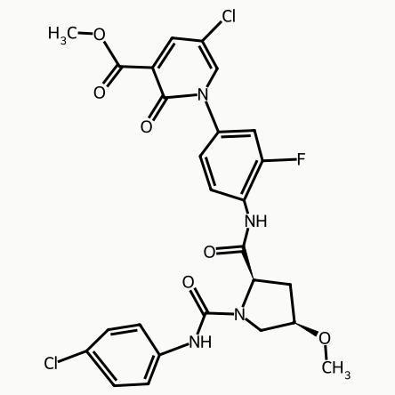 COC(=O)c1cc(Cl)cn(-c2ccc(NC(=O)[C@H]3C[C@@H](OC)CN3C(=O)Nc3ccc(Cl)cc3)c(F)c2)c1=O